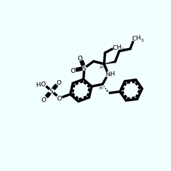 CCCC[C@]1(CC)CS(=O)(=O)c2cc(OS(=O)(=O)O)ccc2[C@@H](Cc2ccccc2)N1